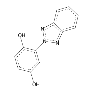 Oc1ccc(O)c(-n2nc3ccccc3n2)c1